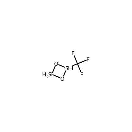 FC(F)(F)[SiH]1O[SiH2]O1